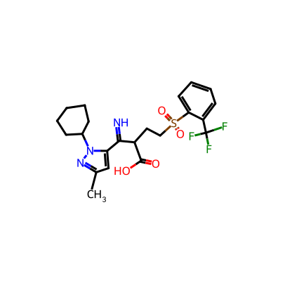 Cc1cc(C(=N)C(CCS(=O)(=O)c2ccccc2C(F)(F)F)C(=O)O)n(C2CCCCC2)n1